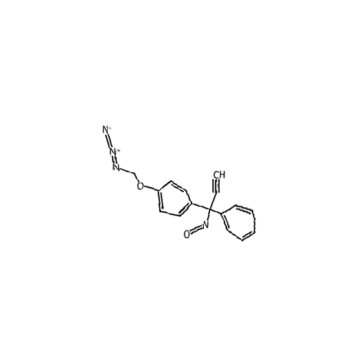 C#CC(N=O)(c1ccccc1)c1ccc(OCN=[N+]=[N-])cc1